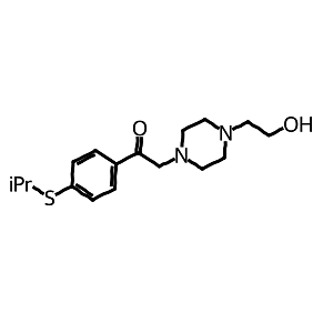 CC(C)Sc1ccc(C(=O)CN2CCN(CCO)CC2)cc1